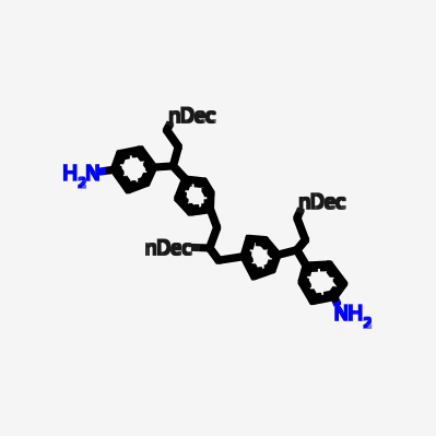 CCCCCCCCCCCCC(c1ccc(N)cc1)c1ccc(CC(CCCCCCCCCC)Cc2ccc(C(CCCCCCCCCCCC)c3ccc(N)cc3)cc2)cc1